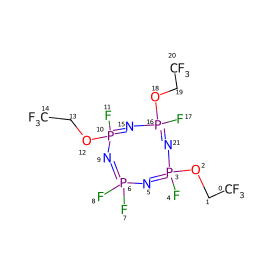 FC(F)(F)COP1(F)=NP(F)(F)=NP(F)(OCC(F)(F)F)=NP(F)(OCC(F)(F)F)=N1